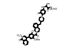 CCCC(Nc1ccc(N2CCC(Cc3cccc4c3CCN(C(=O)c3c(Cl)cc(-c5cn(C)c(=O)c6cnccc56)cc3OC)C4)CC2)c(F)c1)C(=O)NC=O